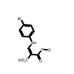 CCOC(=O)C(=CNc1ccc(Br)cc1)C(=O)OCl